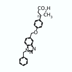 C[C@@H](CC(=O)O)c1ccc(OCc2ccc3c(c2)nnn3Cc2ccccc2)cc1